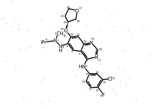 CC(C)N(C)Nc1cc2c(Nc3ccc(F)c(Cl)c3)ncnc2cc1O[C@H]1CCOC1